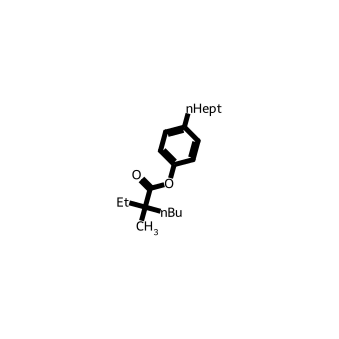 CCCCCCCc1ccc(OC(=O)C(C)(CC)CCCC)cc1